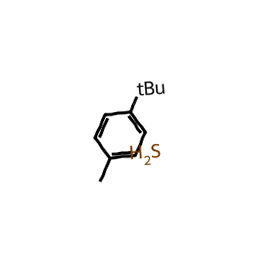 Cc1ccc(C(C)(C)C)cc1.S